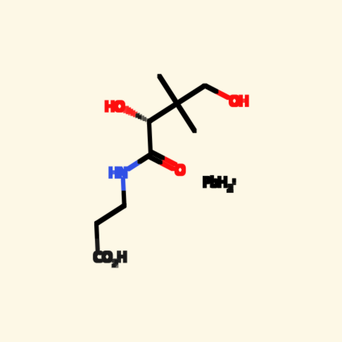 CC(C)(CO)[C@@H](O)C(=O)NCCC(=O)O.[PbH2]